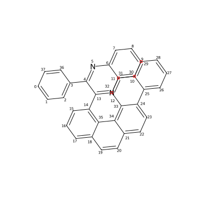 c1ccc(-c2nc3ccccc3nc2-c2cccc3ccc4ccc5c6ccccc6ccc5c4c23)cc1